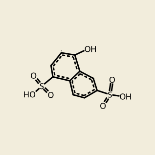 O=S(=O)(O)c1ccc2c(S(=O)(=O)O)c[c]c(O)c2c1